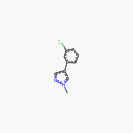 Cn1cc(-c2cc[c]c(Cl)c2)cn1